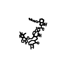 COc1cccc2[nH]c(C(=O)NCC(=O)NC(CC3CCCNC3=O)C(=O)COC(=O)c3c(C(F)(F)F)nn(C)c3C)cc12